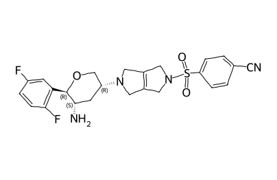 N#Cc1ccc(S(=O)(=O)N2CC3=C(CN([C@H]4CO[C@H](c5cc(F)ccc5F)[C@@H](N)C4)C3)C2)cc1